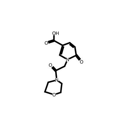 O=C(O)c1ccc(=O)n(CC(=O)N2CCOCC2)c1